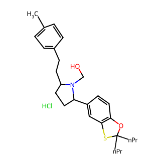 CCCC1(CCC)Oc2ccc(C3CCC(CCc4ccc(C)cc4)N3CO)cc2S1.Cl